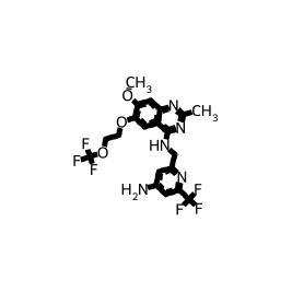 COc1cc2nc(C)nc(NCc3cc(N)cc(C(F)(F)F)n3)c2cc1OCCOC(F)(F)F